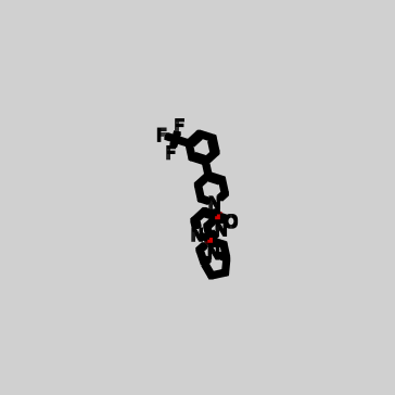 O=C(CN1CC2CCC(C1)N2c1ncccn1)N1CC=C(c2cccc(C(F)(F)F)c2)CC1